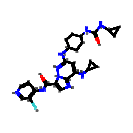 O=C(NC1CC1)N[C@H]1CC[C@H](Nc2cc(NC3CC3)c3ncc(C(=O)Nc4ccncc4F)n3n2)CC1